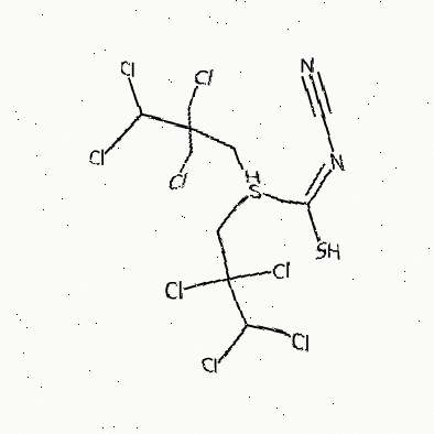 N#CN=C(S)[SH](CC(Cl)(Cl)C(Cl)Cl)CC(Cl)(Cl)C(Cl)Cl